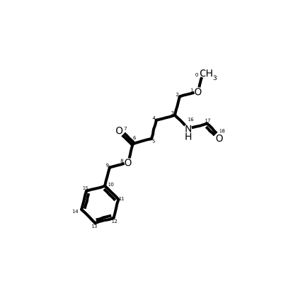 COCC(CCC(=O)OCc1ccccc1)NC=O